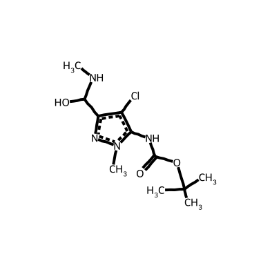 CNC(O)c1nn(C)c(NC(=O)OC(C)(C)C)c1Cl